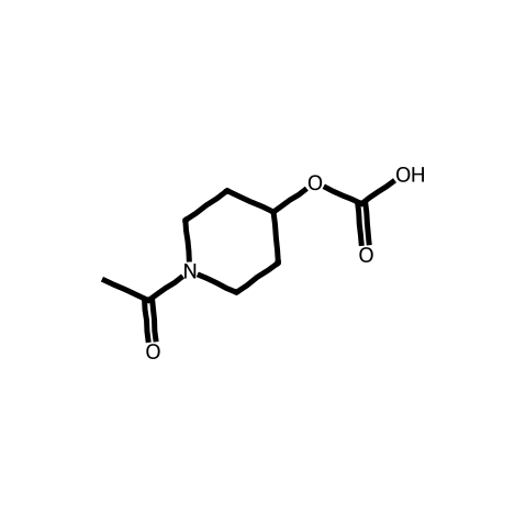 CC(=O)N1CCC(OC(=O)O)CC1